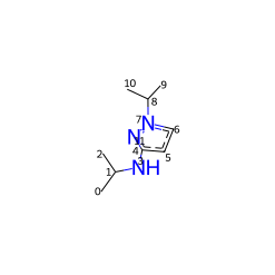 CC(C)Nc1ccn(C(C)C)n1